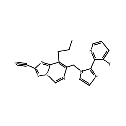 CCCc1c(Cn2ccnc2-c2ncccc2F)ncn2nc(C#N)nc12